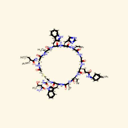 CC(=O)N[C@@H](CC(=O)O)C(=O)N[C@H]1CNC(=O)CSC[C@@H](C(=O)N[C@H](C(N)=O)[C@@H](C)O)NC(=O)[C@H](Cc2c[nH]c3ccccc23)NC(=O)[C@H](C(C)C)NC(=O)[C@H](CC(C)C)NC(=O)[C@H](CCC(=O)Nc2ccc(OC(C)=O)cc2)NC(=O)CNC(=O)[C@H](CC(C)C)NC(=O)[C@H](Cc2c[nH]cn2)NC(=O)[C@H](Cc2c[nH]c3ccccc23)NC(=O)[C@H](C)NC1=O